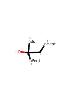 CCCCCCCCC([O])(CCCC)CCCCC